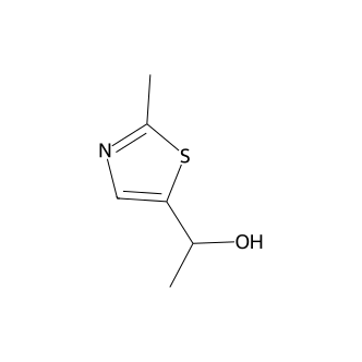 Cc1ncc(C(C)O)s1